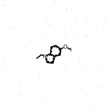 CCn1ccc2cc(OI)ccc21